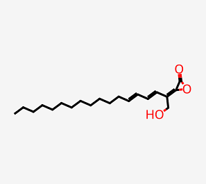 CCCCCCCCCCCCC=CC=CC(CO)=C1OC1=O